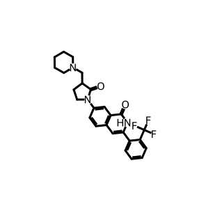 O=C1C(CN2CCCCC2)CCN1c1ccc2cc(-c3ccccc3C(F)(F)F)[nH]c(=O)c2c1